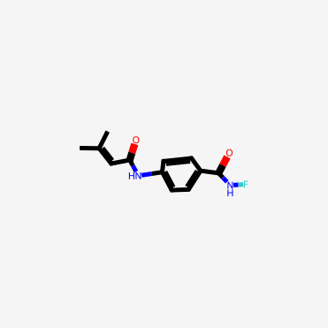 CC(C)=CC(=O)Nc1ccc(C(=O)NF)cc1